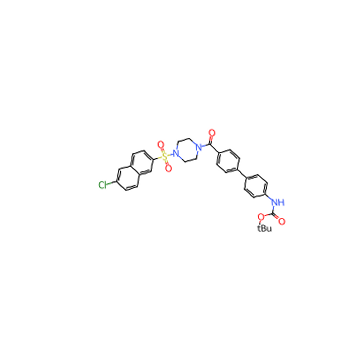 CC(C)(C)OC(=O)Nc1ccc(-c2ccc(C(=O)N3CCN(S(=O)(=O)c4ccc5cc(Cl)ccc5c4)CC3)cc2)cc1